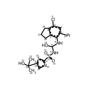 CC(C)c1cc(Cl)c2c(c1NC(O)NS(=O)(=O)c1ncc(C(C)(C)O)s1)CCC2